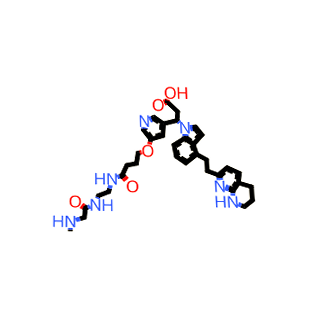 CNCC(=O)NCCNC(=O)CCCOc1cncc(C(CC(=O)O)n2ccc3c(CCc4ccc5c(n4)NCCC5)cccc32)c1